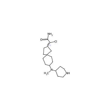 CN(C1CCNCC1)C1CCC2(CC/C(=C(/Cl)C(N)=O)C2)CC1